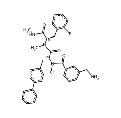 CNC(=O)[C@@H](Cc1ccccc1F)N(C)C(=O)[C@@H](Cc1ccc(-c2ccccc2)cc1)N(C)C(=O)c1cccc(CN)c1